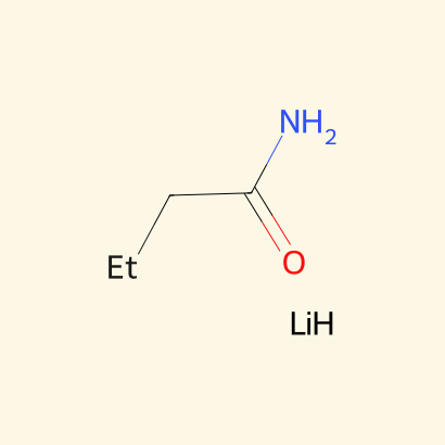 CCCC(N)=O.[LiH]